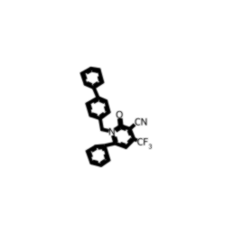 N#Cc1c(C(F)(F)F)cc(-c2ccccc2)n(Cc2ccc(-c3ccccc3)cc2)c1=O